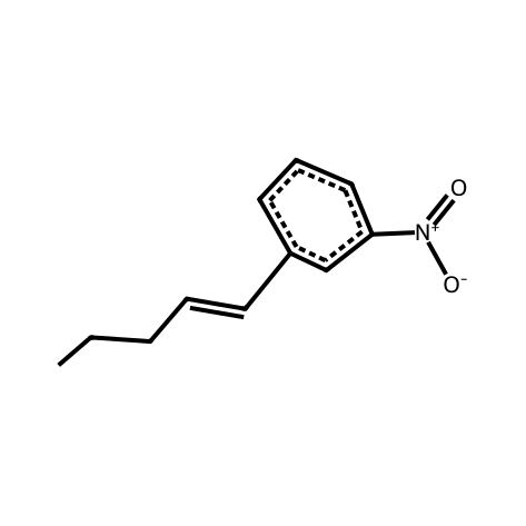 CCCC=Cc1cccc([N+](=O)[O-])c1